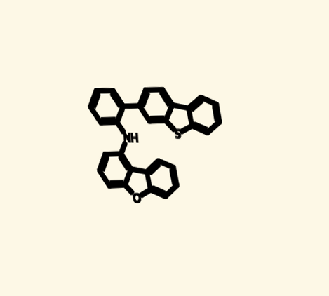 c1ccc(-c2ccc3c(c2)sc2ccccc23)c(Nc2cccc3oc4ccccc4c23)c1